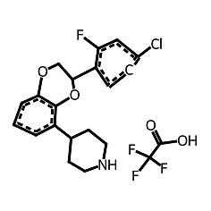 Fc1cc(Cl)ccc1C1COc2cccc(C3CCNCC3)c2O1.O=C(O)C(F)(F)F